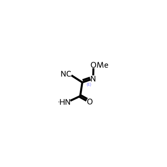 CO/N=C(\C#N)C([NH])=O